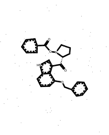 O=C(ON1CCC[C@@H]1C(=O)c1c[nH]c2cccc(OCc3ccccc3)c12)c1ccccc1